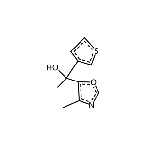 Cc1ncoc1C(C)(O)c1ccsc1